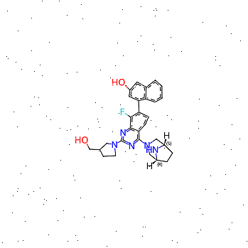 OCC1CCN(c2nc(N3C[C@H]4CC[C@@H](C3)N4)c3ccc(-c4cc(O)cc5ccccc45)c(F)c3n2)C1